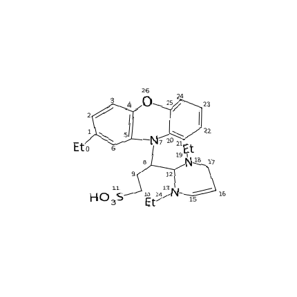 CCc1ccc2c(c1)N(C(CCS(=O)(=O)O)C1N(CC)C=CCN1CC)c1ccccc1O2